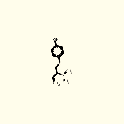 C=CC(COc1ccc(O)cc1)[SiH](C)C